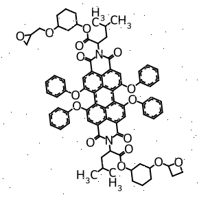 CC(C)CC(C(=O)OC1CCCC(OCC2CO2)C1)N1C(=O)c2cc(Oc3ccccc3)c3c4c(Oc5ccccc5)cc5c6c(cc(Oc7ccccc7)c(c7c(Oc8ccccc8)cc(c2c37)C1=O)c64)C(=O)N(C(CC(C)C)C(=O)OC1CCCC(OC2CCO2)C1)C5=O